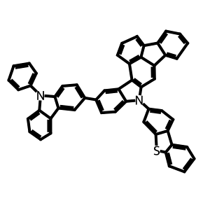 c1ccc(-n2c3ccccc3c3cc(-c4ccc5c(c4)c4c6cccc7c6c(cc4n5-c4ccc5c(c4)sc4ccccc45)-c4ccccc4-7)ccc32)cc1